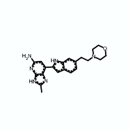 Cc1nc2c(-c3cc4ccc(CCN5CCOCC5)cc4[nH]3)cc(N)nc2[nH]1